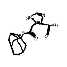 O=C(O)c1nc[nH]c1C(=O)OC12CC3CC(C1)C(O)C(C3)C2